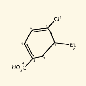 CCC1CC(C(=O)O)=CC=C1Cl